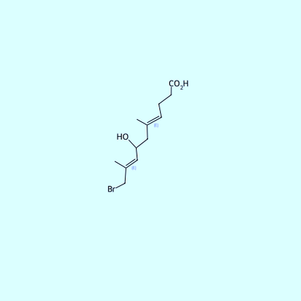 C/C(=C\C(O)C/C(C)=C/CCC(=O)O)CBr